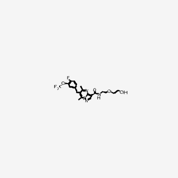 Cc1nc2c(C(=O)NCCOCCO)cnn2c(C)c1Cc1ccc(F)c(OC(F)(F)F)c1